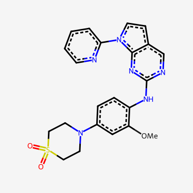 COc1cc(N2CCS(=O)(=O)CC2)ccc1Nc1ncc2ccn(-c3ccccn3)c2n1